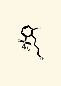 NS(=O)(=O)c1cccc(Cl)c1CCCC[O]